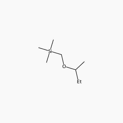 CCC(C)OC[Si](C)(C)C